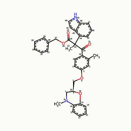 Cc1cc(OC[C@@H]2CN(C)c3ccccc3O2)ccc1C(=O)C(C)(C(=O)OCc1ccccc1)c1cccc2[nH]ccc12